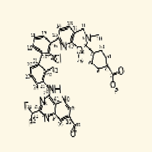 COC(=O)C1CCC(CN(C)Cc2ccc(-c3cccc(-c4cccc(Nc5nc(C(F)F)nc6cc(C=O)cnc56)c4C)c3Cl)nc2OC)CC1